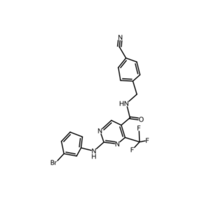 N#Cc1ccc(CNC(=O)c2cnc(Nc3cccc(Br)c3)nc2C(F)(F)F)cc1